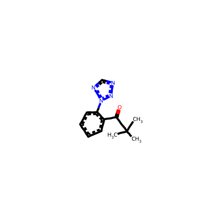 CC(C)(C)C(=O)c1ccccc1-n1ncnn1